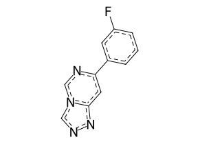 Fc1cccc(-c2cc3nncn3cn2)c1